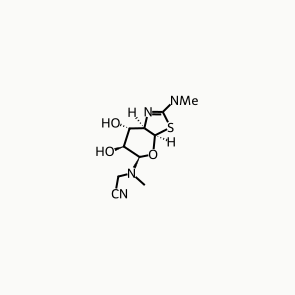 CNC1=N[C@@H]2[C@@H](O)[C@H](O)[C@H](N(C)CC#N)O[C@@H]2S1